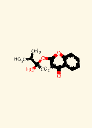 CC(C(=O)O)C(O)(Oc1cc(=O)c2ccccc2o1)C(=O)O